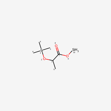 CC(O[Si](C)(C)C)C(=O)O[SiH3]